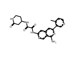 Cc1ccncc1-c1cc2cc(NC(=O)C(=O)NC3CCNC(=O)C3)ncc2c(N)n1